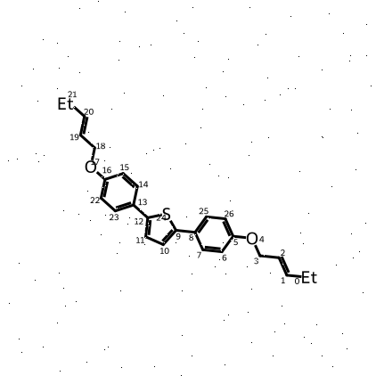 CCC=CCOc1ccc(-c2ccc(-c3ccc(OCC=CCC)cc3)s2)cc1